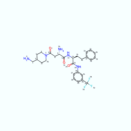 NCC1CCN(C(=O)C[C@H](N)C(=O)N[C@@H](CCc2ccccc2)C(=O)Nc2cccc(C(F)(F)F)c2)CC1